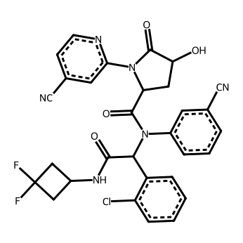 N#Cc1cccc(N(C(=O)C2CC(O)C(=O)N2c2cc(C#N)ccn2)C(C(=O)NC2CC(F)(F)C2)c2ccccc2Cl)c1